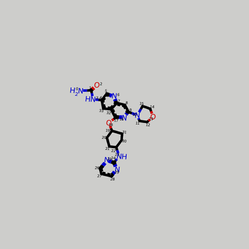 NC(=O)Nc1cnc2cc(N3CCOCC3)nc(OC3CCC(Nc4ncccn4)CC3)c2c1